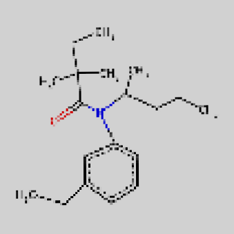 CCCC(C)N(C(=O)C(C)(C)CC)c1cccc(CC)c1